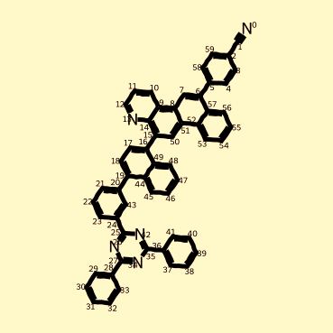 N#Cc1ccc(-c2cc3c4cccnc4c(-c4ccc(-c5cccc(-c6nc(-c7ccccc7)nc(-c7ccccc7)n6)c5)c5ccccc45)cc3c3ccccc23)cc1